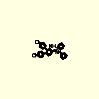 Nc1c(C=NN(c2ccccc2)c2ccccc2)ccc(-c2ccc(Cl)cc2)c1-c1ccc(Cl)cc1